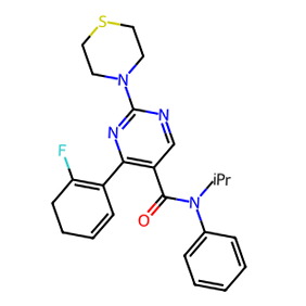 CC(C)N(C(=O)c1cnc(N2CCSCC2)nc1C1=C(F)CCC=C1)c1ccccc1